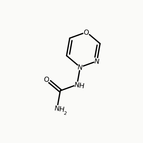 NC(=O)NN1C=COC=N1